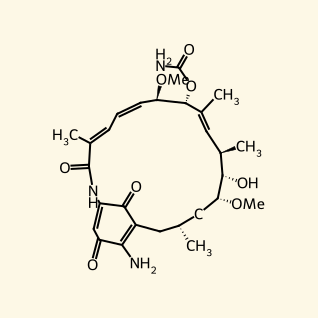 CO[C@@H]1/C=C\C=C(/C)C(=O)NC2=CC(=O)C(N)=C(C[C@@H](C)C[C@@H](OC)[C@@H](O)[C@H](C)/C=C(\C)[C@H]1OC(N)=O)C2=O